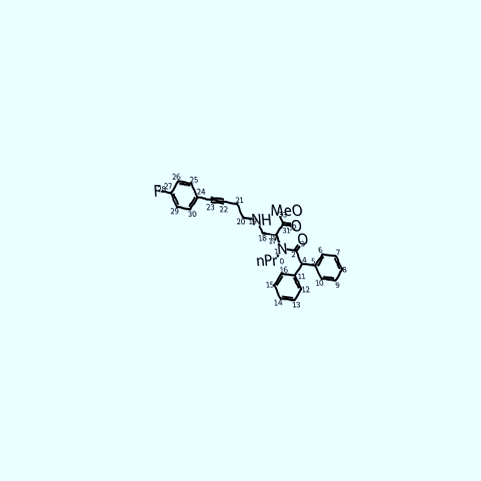 CCCN(C(=O)C(c1ccccc1)c1ccccc1)[C@@H](CNCCC#Cc1ccc(F)cc1)C(=O)OC